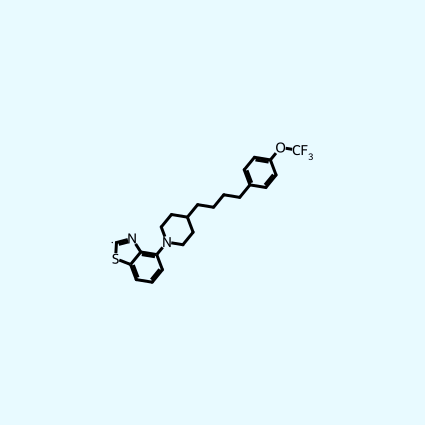 FC(F)(F)Oc1ccc(CCCCC2CCN(c3cccc4s[c]nc34)CC2)cc1